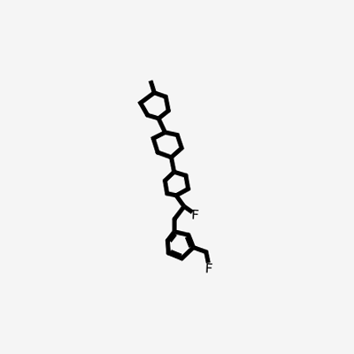 CC1CCC(C2CCC(C3CCC(C(F)Cc4cccc(CF)c4)CC3)CC2)CC1